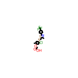 Cc1cc(SCc2sc(-c3ccc(C(F)(F)F)cc3)nc2C)c(Cl)cc1OCC(=O)O